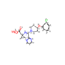 O=C(O)C1(/N=C(\c2ncccn2)N2CCC(Oc3ccccc3Cl)CC2)CC1